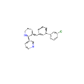 Clc1cccc(-c2cccc(C=C3CCCN=C3c3cccnc3)c2)c1